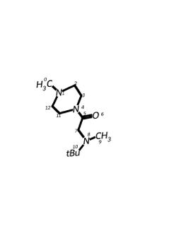 CN1CCN(C(=O)CN(C)C(C)(C)C)CC1